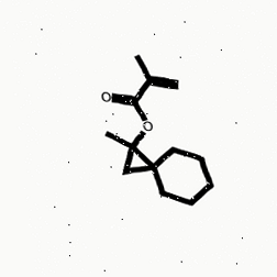 C=C(C)C(=O)OC1(C)CC12CCCCC2